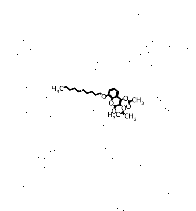 CCCCCCCCCCOc1cccc2c(OC(C)=O)c(OC(C)C)c(=O)oc12